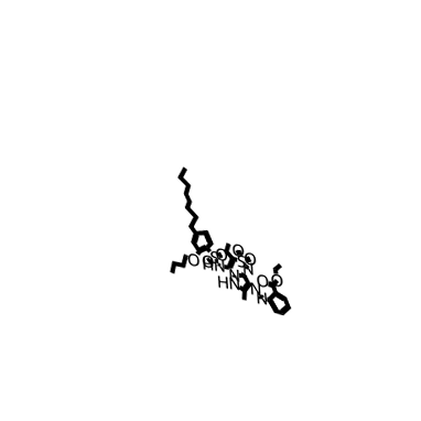 CCCCCCCCc1ccc(S(=O)(=O)NC2=C(CC)S(=O)(=O)N=C3C(N=Nc4ccccc4C(=O)OCC)=C(C)NN32)c(OCCCC)c1